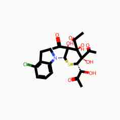 CC(=O)C(O)[C@@H]1S[C@H](N2CCc3c(Cl)cccc32)[C@@](O)(C(C)=O)[C@](O)(C(C)=O)[C@@]1(O)C(C)=O